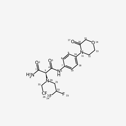 NC(=O)[C@@H](C(=O)Nc1ccc(N2CCOCC2=O)cc1)N(CC(F)F)CC(F)(F)F